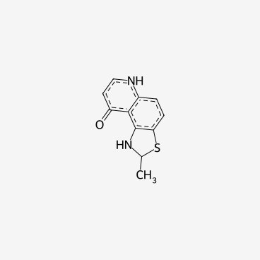 CC1Nc2c(ccc3[nH]ccc(=O)c23)S1